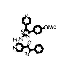 COc1ccc(-c2nc(N)sc2-c2ccncc2)cc1.O=C(c1ccncc1)C(Br)c1ccccc1